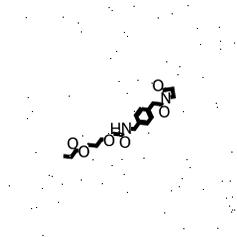 CCC(=O)OCCCOCC(=O)NCc1ccc(CC(=O)N2CCC2=O)cc1